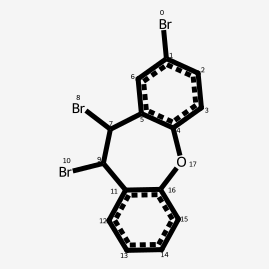 Brc1ccc2c(c1)C(Br)C(Br)c1ccccc1O2